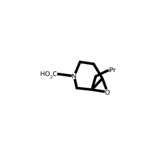 CC(C)CC12CN(C(=O)O)CCC1O2